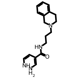 N/C=C\C(=C/N)C(=O)NCCCN1CCc2ccccc2C1